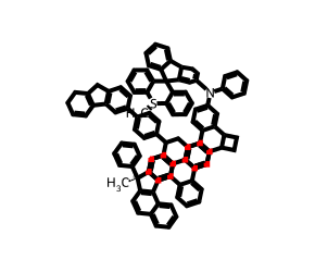 C=S1c2ccccc2C2(C3=CC(N(c4ccccc4)c4ccc5c(c4)C4CCC4c4ccc(-c6ccccc6-c6ccccc6-c6cccc(CC(c7ccc(-c8ccc9c(c8)C8=C(CCC=C8)C9)cc7)c7ccc8c(c7)[C@](C)(c7ccccc7)c7ccc9ccccc9c7-8)c6)cc4-5)=CCC3c3ccccc32)c2ccccc21